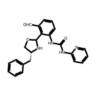 O=Cc1cccc(NC(=O)Nc2ccccn2)c1C1N[C@H](Cc2ccccc2)CO1